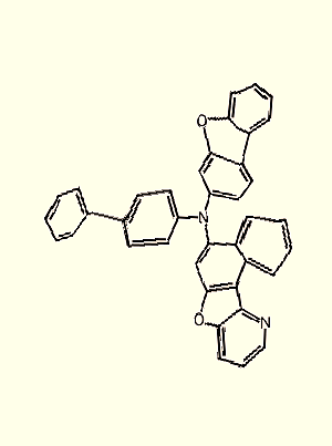 c1ccc(-c2ccc(N(c3ccc4c(c3)oc3ccccc34)c3cc4oc5cccnc5c4c4ccccc34)cc2)cc1